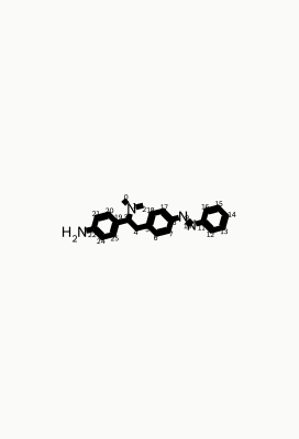 CN(C)C(Cc1ccc(/N=N/c2ccccc2)cc1)c1ccc(N)cc1